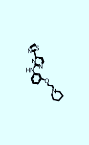 c1cc(Nc2nccc(-c3nccs3)n2)cc(OCCN2CCCCC2)c1